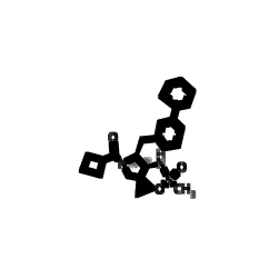 CS(=O)(=O)N[C@@H]1[C@H](Cc2cccc(-c3ccccc3)c2)N(C(=O)C2CCC2)CC12CC2